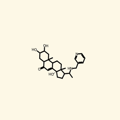 CC(NCc1cccnc1)C1CC[C@@]2(O)C3=CC(=O)C4CC(O)C(O)CC4(C)C3CCC12C